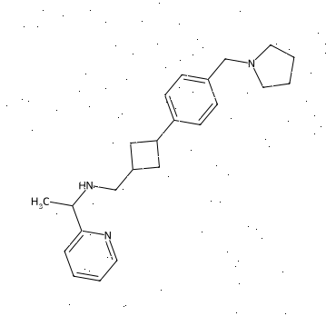 CC(NCC1CC(c2ccc(CN3CCCC3)cc2)C1)c1ccccn1